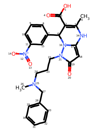 CC1=C(C(=O)O)C(c2cccc([N+](=O)[O-])c2)n2c(cc(=O)n2CCCN(C)Cc2ccccc2)N1